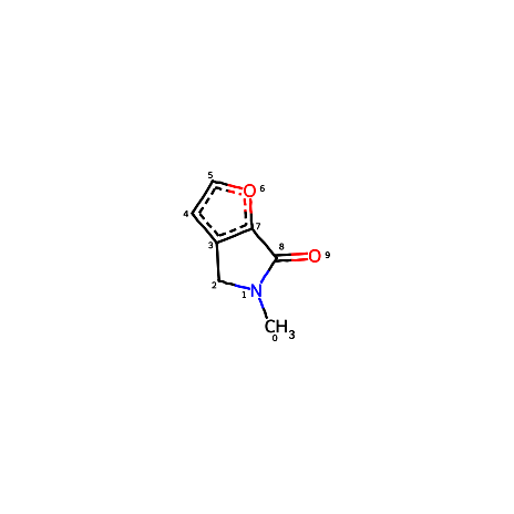 CN1Cc2ccoc2C1=O